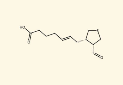 O=C[C@H]1CSC[C@H]1CC=CCCCC(=O)O